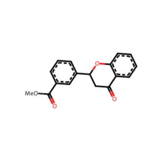 COC(=O)c1cccc(C2CC(=O)c3ccccc3O2)c1